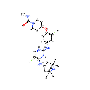 CCNC(=O)N1CCC(Oc2ccc(Nc3ncc(F)c(NC4CC(C)(C)NC(C)(C)C4)n3)cc2F)CC1